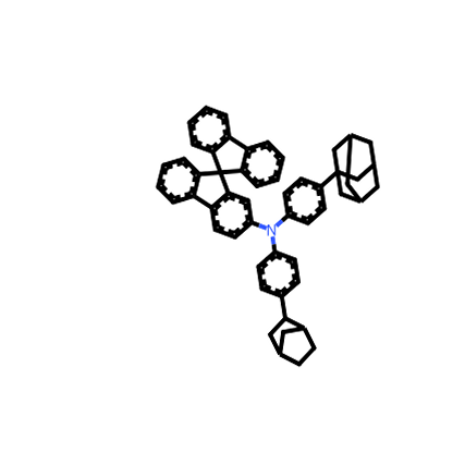 c1ccc2c(c1)-c1ccccc1C21c2ccccc2-c2ccc(N(c3ccc(C4CC5CCC4C5)cc3)c3ccc(C45CC6CC(CC(C6)C4)C5)cc3)cc21